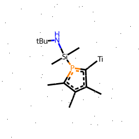 Cc1c(C)[c]([Ti])p([Si](C)(C)NC(C)(C)C)c1C